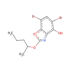 CCCC(C)Oc1nc2c(O)c(Br)cc(Br)c2o1